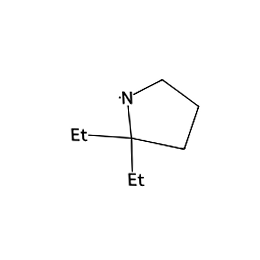 CCC1(CC)CCC[N]1